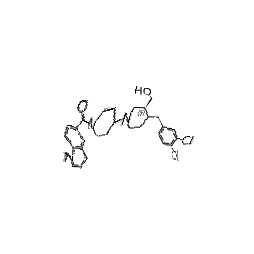 O=C(c1ccc2ncccc2c1)N1CCC(N2CCC(Cc3ccc(Cl)c(Cl)c3)[C@H](CO)C2)CC1